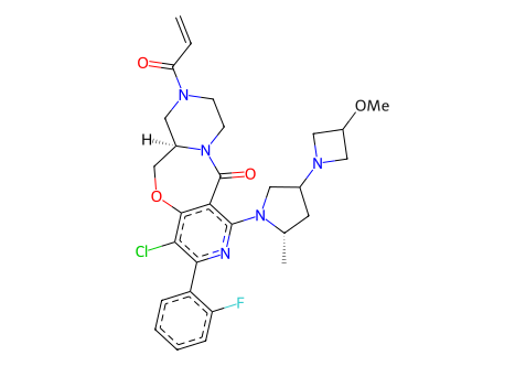 C=CC(=O)N1CCN2C(=O)c3c(N4CC(N5CC(OC)C5)C[C@@H]4C)nc(-c4ccccc4F)c(Cl)c3OC[C@H]2C1